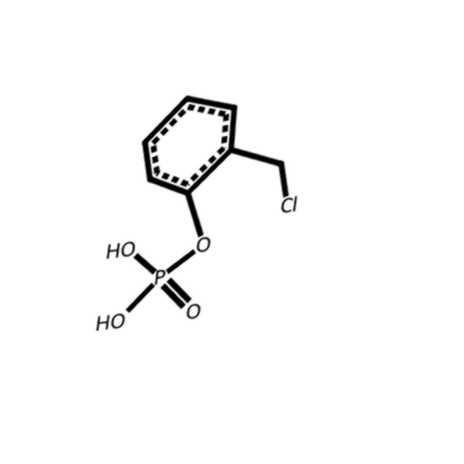 O=P(O)(O)Oc1ccccc1CCl